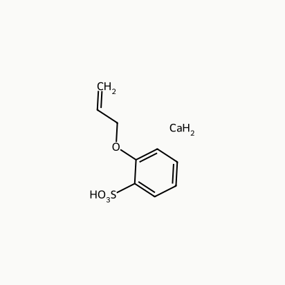 C=CCOc1ccccc1S(=O)(=O)O.[CaH2]